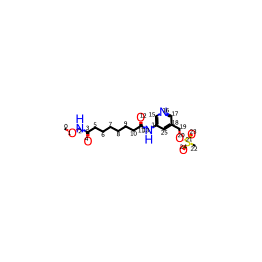 CONC(=O)CCCCCCC(=O)Nc1cncc(COS(C)(=O)=O)c1